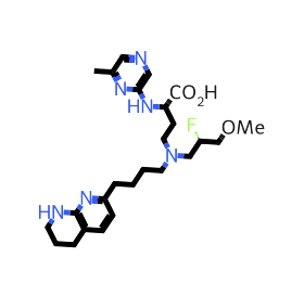 COC[C@@H](F)CN(CCCCc1ccc2c(n1)NCCC2)CCC(Nc1cncc(C)n1)C(=O)O